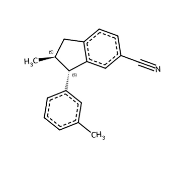 Cc1cccc([C@H]2c3cc(C#N)ccc3C[C@@H]2C)c1